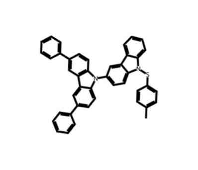 Cc1ccc(Sn2c3ccccc3c3cc(-n4c5ccc(-c6ccccc6)cc5c5cc(-c6ccccc6)ccc54)ccc32)cc1